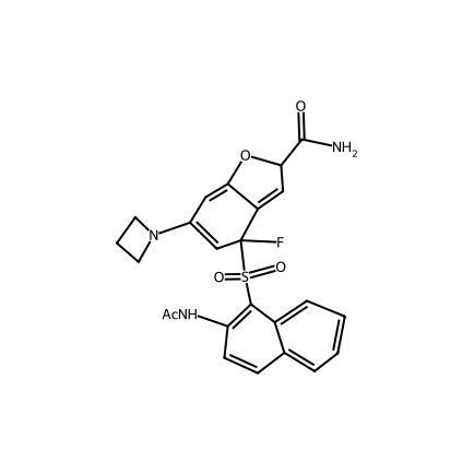 CC(=O)Nc1ccc2ccccc2c1S(=O)(=O)C1(F)C=C(N2CCC2)C=C2OC(C(N)=O)C=C21